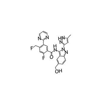 Cc1cc(-n2nc3ccc(CO)cc3c2NC(=O)c2cc(-c3ncccn3)c(CF)cc2F)n[nH]1